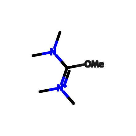 COC(N(C)C)=[N+](C)C